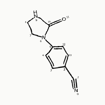 N#Cc1ccc(N2CCNC2=O)cc1